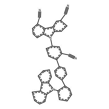 N#Cc1ccc2c(c1)c1c(C#N)cccc1n2-c1ccc(-c2ccc(-c3ccccc3-n3c4ccccc4c4ccccc43)cc2)c(C#N)c1